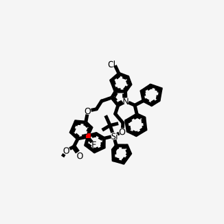 COC(=O)c1ccc(OCCc2c(CCO[Si](c3ccccc3)(c3ccccc3)C(C)(C)C)n(C(c3ccccc3)c3ccccc3)c3ccc(Cl)cc23)cc1F